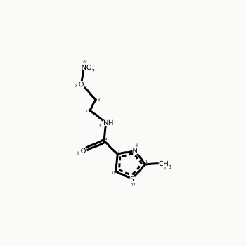 Cc1nc(C(=O)NCCO[N+](=O)[O-])cs1